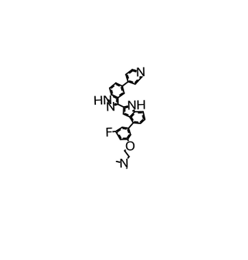 CN(C)CCOc1cc(F)cc(-c2cccc3[nH]c(-c4n[nH]c5ccc(-c6ccncc6)cc45)cc23)c1